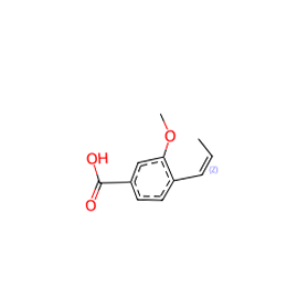 C/C=C\c1ccc(C(=O)O)cc1OC